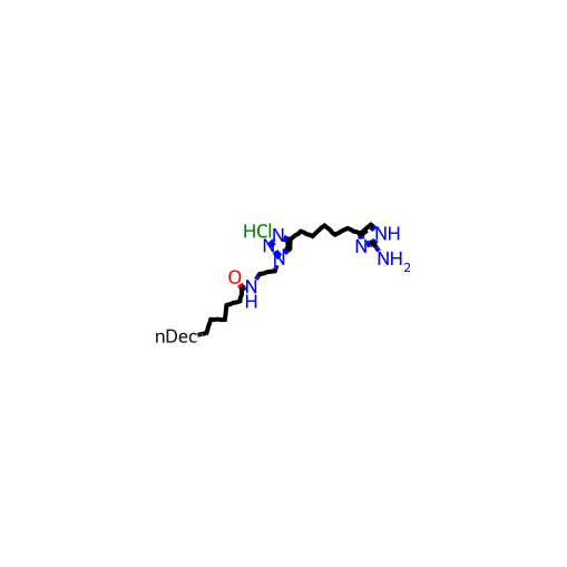 CCCCCCCCCCCCCCCC(=O)NCCn1cc(CCCCCc2c[nH]c(N)n2)nn1.Cl